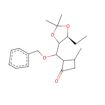 CC[C@@H]1OC(C)(C)OC1C(OCc1ccccc1)C1C(=O)CC1C